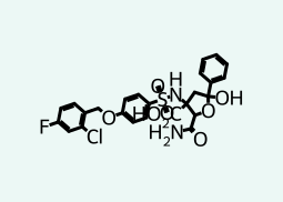 NC(=O)C1OC(O)(c2ccccc2)CC1(NS(=O)(=O)c1ccc(OCc2ccc(F)cc2Cl)cc1)C(=O)O